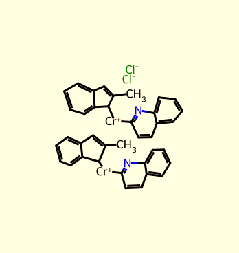 CC1=Cc2ccccc2[CH]1[Cr+][c]1ccc2ccccc2n1.CC1=Cc2ccccc2[CH]1[Cr+][c]1ccc2ccccc2n1.[Cl-].[Cl-]